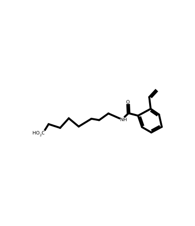 C=Cc1ccccc1C(=O)NCCCCCCCC(=O)O